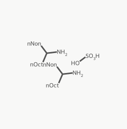 CCCCCCCCCC(N)CCCCCCCC.CCCCCCCCCC(N)CCCCCCCC.O=S(=O)(O)O